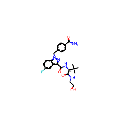 CC(C)(C)[C@H](NC(=O)c1nn(Cc2ccc(C(N)=O)cc2)c2ccc(F)cc12)C(=O)NCCO